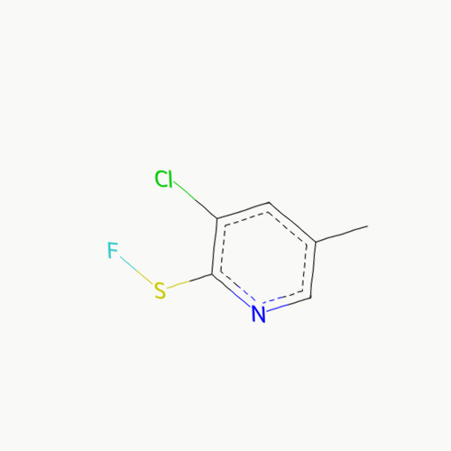 Cc1cnc(SF)c(Cl)c1